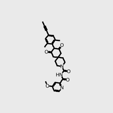 CC#Cc1cc(C)c(C2C(=O)CC3(CCN(C(=O)NC(=O)c4cc(OC)ccn4)CC3)CC2=O)c(C)c1